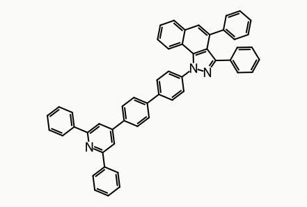 c1ccc(-c2cc(-c3ccc(-c4ccc(-n5nc(-c6ccccc6)c6c(-c7ccccc7)cc7ccccc7c65)cc4)cc3)cc(-c3ccccc3)n2)cc1